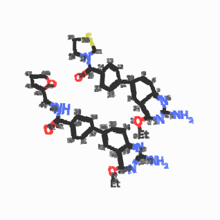 CCOc1nc(N)nc2ccc(-c3ccc(C(=O)N4CCSC4)cc3)cc12.CCOc1nc(N)nc2ccc(-c3ccc(C(=O)NCc4ccco4)cc3)cc12